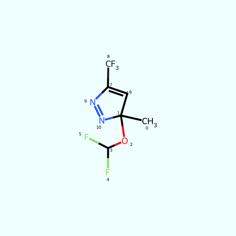 CC1(OC(F)F)[C]=C(C(F)(F)F)N=N1